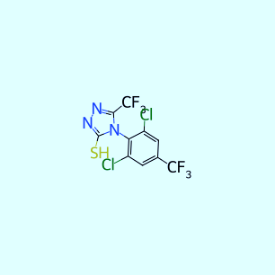 FC(F)(F)c1cc(Cl)c(-n2c(S)nnc2C(F)(F)F)c(Cl)c1